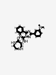 CN(C)c1cccc(-c2nc3c4ccccc4nc(N[C@@H]4CNCCNC4=O)n3n2)c1